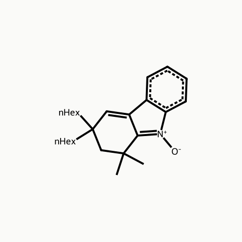 CCCCCCC1(CCCCCC)C=C2C(=[N+]([O-])c3ccccc32)C(C)(C)C1